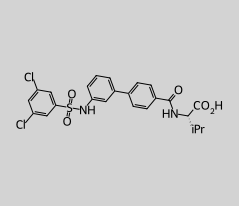 CC(C)[C@H](NC(=O)c1ccc(-c2cccc(NS(=O)(=O)c3cc(Cl)cc(Cl)c3)c2)cc1)C(=O)O